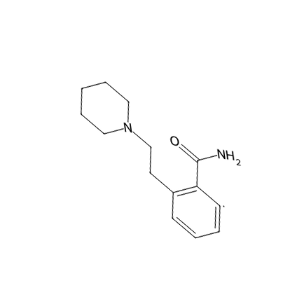 NC(=O)c1[c]cccc1CCN1CCCCC1